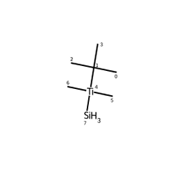 C[C](C)(C)[Ti]([CH3])([CH3])[SiH3]